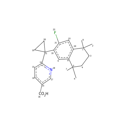 CC1(C)CCC(C)(C)c2cc(C3(c4ccc(C(=O)O)cn4)CC3)c(F)cc21